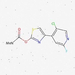 CNC(=O)Oc1nc(-c2cc(F)ncc2Cl)cs1